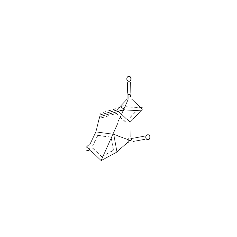 O=P12c3sc4c1c3P1(=O)c3c-4sc2c31